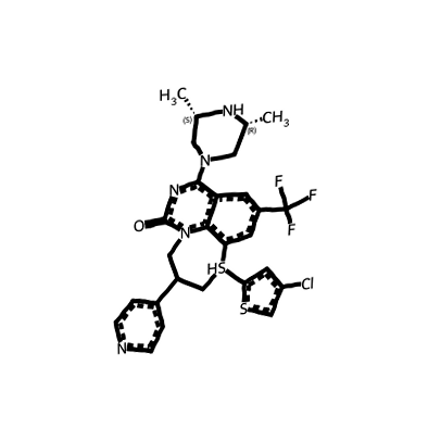 C[C@@H]1CN(c2nc(=O)n3c4c(cc(C(F)(F)F)cc24)[SH](c2cc(Cl)cs2)CC(c2ccncc2)C3)C[C@H](C)N1